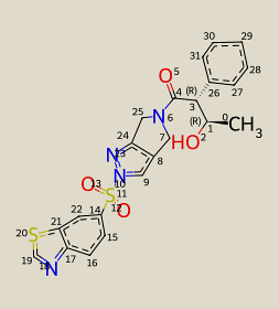 C[C@@H](O)[C@H](C(=O)N1Cc2cn(S(=O)(=O)c3ccc4ncsc4c3)nc2C1)c1ccccc1